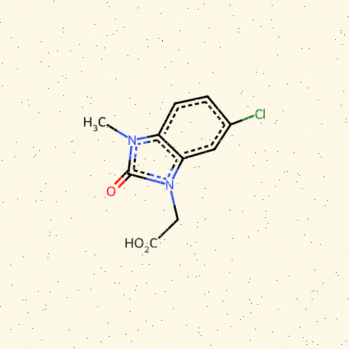 Cn1c(=O)n(CC(=O)O)c2cc(Cl)ccc21